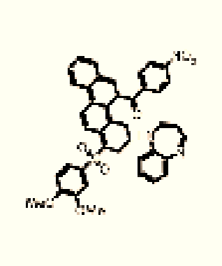 C1=CNc2ccccc2N=C1.COc1ccc(S(=O)(=O)C2=c3ccc4c(c3CCC2)C(C(=O)c2ccc([N+](=O)[O-])cc2)C=c2ccccc2=4)cc1OC